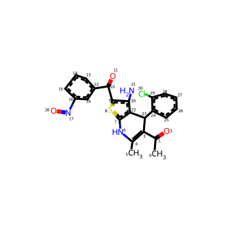 CC(=O)C1=C(C)Nc2sc(C(=O)c3cccc(N=O)c3)c(N)c2C1c1ccccc1Cl